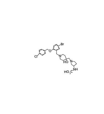 O=C(O)NC1CCN(CC2(O)CCN(Cc3cc(Br)ccc3OCc3ccc(Cl)cc3)CC2)C1